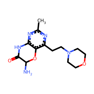 Cc1nc(CCN2CCOCC2)c2c(n1)NC(=O)C(N)O2